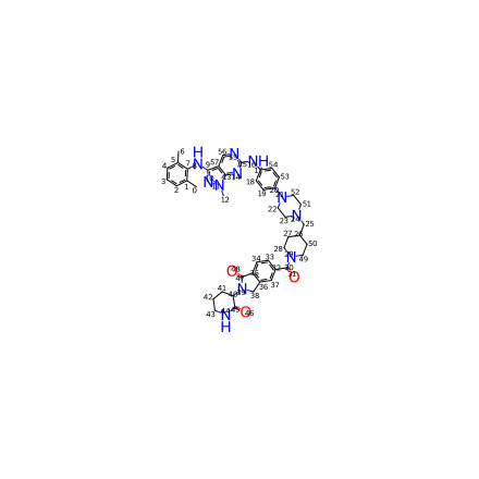 Cc1cccc(C)c1Nc1nn(C)c2nc(Nc3ccc(N4CCN(CC5CCN(C(=O)c6ccc7c(c6)CN(C6CCCNC6=O)C7=O)CC5)CC4)cc3)ncc12